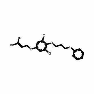 Clc1cc(OCC=C(Br)Br)cc(Cl)c1OCCCSc1ccccc1